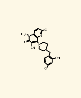 Cn1c(=O)c(C#N)c(N2CCN(Cc3ccc(Cl)cc3O)CC2)c2nc(Cl)ccc21